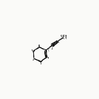 CCC#CC1=CCC[CH]C1